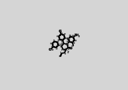 C=CC[C@@]1(C)C[C@H](c2cccc(Cl)c2)C(c2ccc(Cl)cc2)N(c2ncc(N)cc2C)C1=O